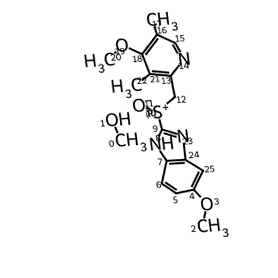 CO.COc1ccc2[nH]c([S@@+]([O-])Cc3ncc(C)c(OC)c3C)nc2c1